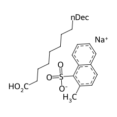 CCCCCCCCCCCCCCCCCC(=O)O.Cc1ccc2ccccc2c1S(=O)(=O)[O-].[Na+]